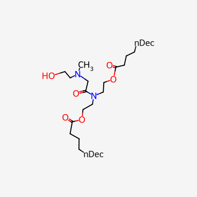 CCCCCCCCCCCCCC(=O)OCCN(CCOC(=O)CCCCCCCCCCCCC)C(=O)CN(C)CCO